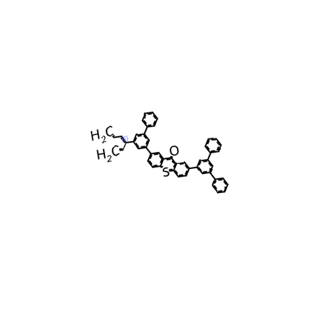 C=C/C=C(\C=C)c1cc(-c2ccccc2)cc(-c2ccc3sc4ccc(-c5cc(-c6ccccc6)cc(-c6ccccc6)c5)cc4c(=O)c3c2)c1